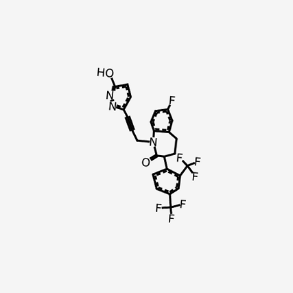 O=C1C(c2ccc(C(F)(F)F)cc2C(F)(F)F)CCc2cc(F)ccc2N1CC#Cc1ccc(O)nn1